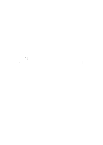 COc1ccc(Oc2c[nH]nc2-c2cccs2)c2c1CCC2